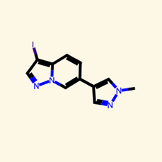 Cn1cc(-c2ccc3c(I)cnn3c2)cn1